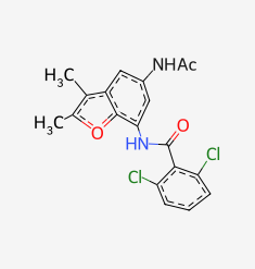 CC(=O)Nc1cc(NC(=O)c2c(Cl)cccc2Cl)c2oc(C)c(C)c2c1